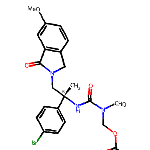 COc1ccc2c(c1)C(=O)N(C[C@](C)(NC(=O)N(C=O)COC(=O)C(C)(C)C)c1ccc(Br)cc1)C2